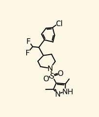 Cc1n[nH]c(C)c1S(=O)(=O)N1CCC(C(c2ccc(Cl)cc2)C(F)F)CC1